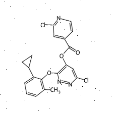 Cc1cccc(C2CC2)c1Oc1nnc(Cl)cc1OC(=O)c1ccnc(Cl)c1